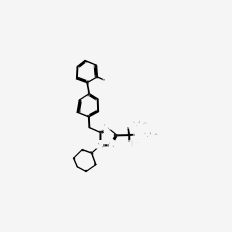 CCCC(OC)(OC)c1nc(Cc2ccc(-c3ccccc3C(=O)O)cc2)n(C2CCCCC2)n1